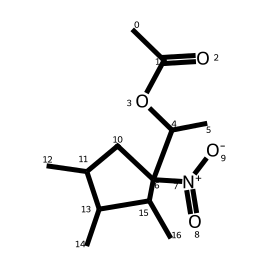 CC(=O)OC(C)C1([N+](=O)[O-])CC(C)C(C)C1C